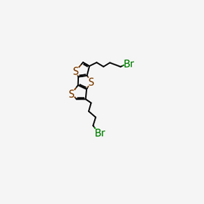 BrCCCCc1csc2c1sc1c(CCCCBr)csc12